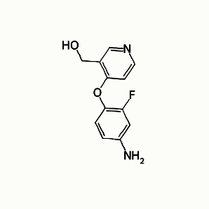 Nc1ccc(Oc2ccncc2CO)c(F)c1